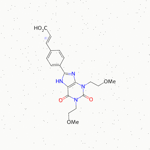 COCCn1c(=O)c2[nH]c(-c3ccc(/C=C/C(=O)O)cc3)nc2n(CCOC)c1=O